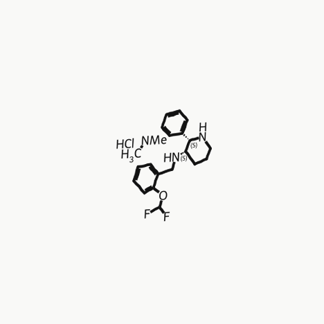 CNC.Cl.FC(F)Oc1ccccc1CN[C@H]1CCCN[C@H]1c1ccccc1